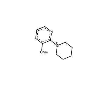 COc1cccnc1[SiH]1CCCCC1